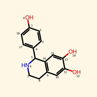 Oc1ccc(C2NCCc3cc(O)c(O)cc32)cc1